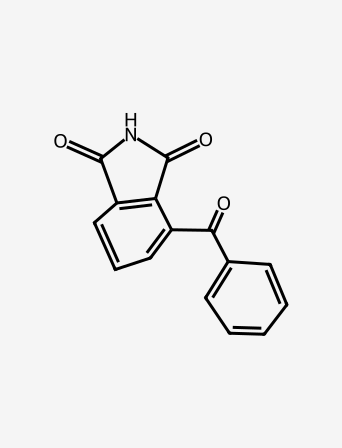 O=C1NC(=O)c2c1cccc2C(=O)c1ccccc1